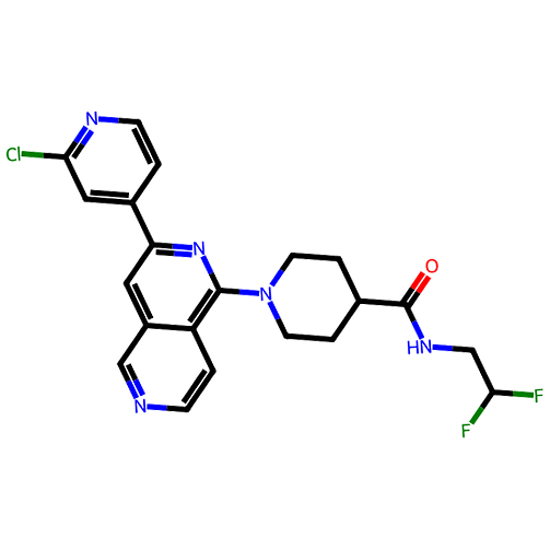 O=C(NCC(F)F)C1CCN(c2nc(-c3ccnc(Cl)c3)cc3cnccc23)CC1